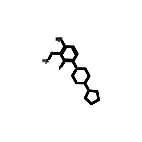 COc1c(N)ccc(N2CCC(N3CCCC3)CC2)c1F